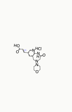 Cl.O=C(O)/C=C/c1cnc2c(c1)CN(N1CCOCC1)CC(=O)N2